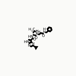 CC(C)C[C@@H](NC(=O)c1c[nH]c2ncc(C3CC3)nc12)C(=O)NCCC(=O)NCc1ccccc1